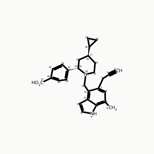 C#CCc1cc(C)c2[nH]ccc2c1CN1CC[C@H](C2CC2)C[C@H]1c1ccc(C(=O)O)cc1